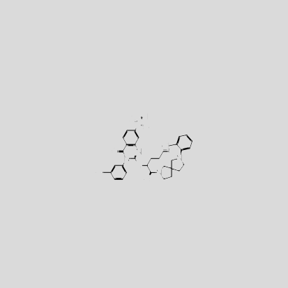 CCCCC(Sc1nc2cc(S(C)(=O)=O)ccc2c(=O)n1-c1cccc(Cl)c1)C(=O)N1CCC2(CCN(c3ccccc3Cl)C2)C1